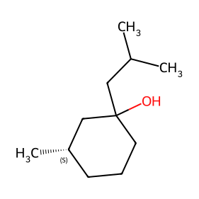 CC(C)CC1(O)CCC[C@H](C)C1